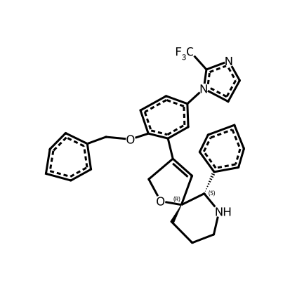 FC(F)(F)c1nccn1-c1ccc(OCc2ccccc2)c(C2=C[C@@]3(CCCN[C@H]3c3ccccc3)OC2)c1